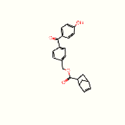 O=C(c1ccc(O)cc1)c1ccc(COC(=O)C2CC3C=CC2C3)cc1